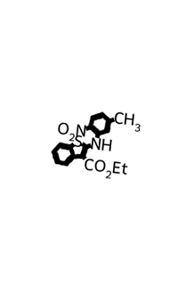 CCOC(=O)c1c(Nc2cc(C)ccc2[N+](=O)[O-])sc2ccccc12